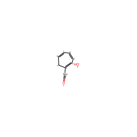 [OH-].[O]=[Sn+][C]1=CC=CC=CC1